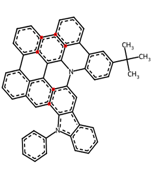 CC(C)(C)c1ccc(N(c2ccc3c(c2)c2ccccc2n3-c2ccccc2)c2ccccc2-c2cccc3cccc(-c4ccccc4)c23)c(-c2ccccc2)c1